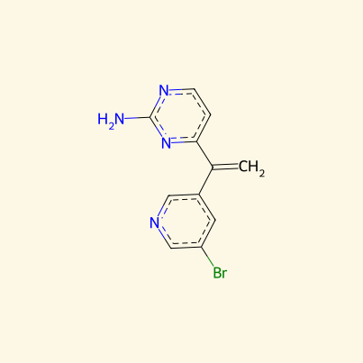 C=C(c1cncc(Br)c1)c1ccnc(N)n1